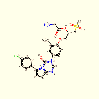 CCS(=O)(=O)C[C@H](COc1ccc(-n2cnc3ccc(-c4ccc(Cl)cc4)n3c2=O)cc1OC)OC(=O)CN